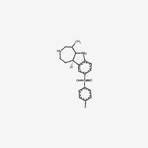 CC1CNCC[C@@H]2c3cc(S(=O)(=O)c4ccc(F)cc4)ccc3NC12